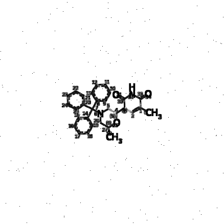 CC1=C[C@H]([C@H]2CN(C(c3ccccc3)(c3ccccc3)c3ccccc3)C[C@H](C)O2)C(=O)NC1=O